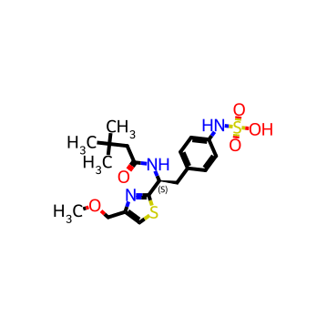 COCc1csc([C@H](Cc2ccc(NS(=O)(=O)O)cc2)NC(=O)CC(C)(C)C)n1